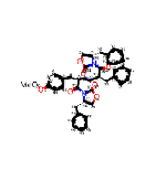 COOc1ccc(C[C@@H](/C=C/[C@H](Cc2ccccc2)C(=O)N2C(=O)OC[C@@H]2Cc2ccccc2)C(=O)N2C(=O)OC[C@@H]2Cc2ccccc2)cc1